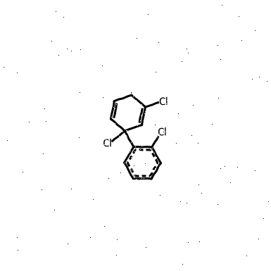 ClC1=CC(Cl)(c2ccccc2Cl)C=C[CH]1